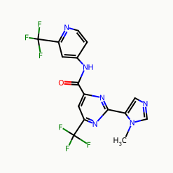 Cn1cncc1-c1nc(C(=O)Nc2ccnc(C(F)(F)F)c2)cc(C(F)(F)F)n1